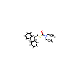 CCN(CC)C(=O)SCC1c2ccccc2-c2ccccc21